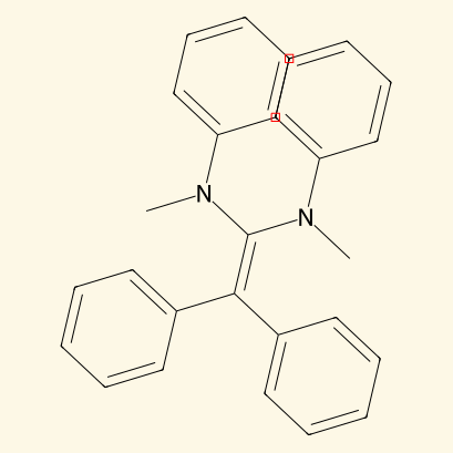 CN(C(=C(c1ccccc1)c1ccccc1)N(C)c1ccccc1)c1ccccc1